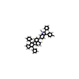 Cc1ccc(-c2c(-c3ccccc3)n(C)c3cc(-c4ccc5c6c(cccc46)-c4c-5c(-c5ccccc5)c5ccccc5c4-c4ccccc4)ccc23)cc1